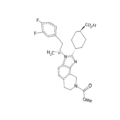 COC(=O)N1CCc2ccc3c(nc([C@H]4CC[C@H](C(=O)O)CC4)n3[C@H](C)Cc3ccc(F)c(F)c3)c2C1